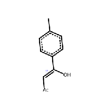 CC(=O)/C=C(\O)c1ccc(C)cc1